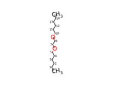 CCCCCCOCCOCCCCCC